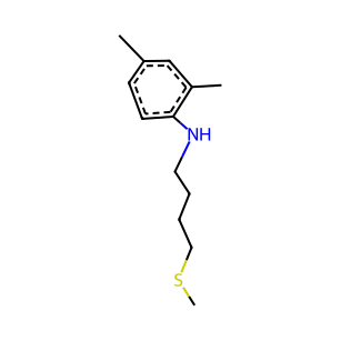 CSCCCCNc1ccc(C)cc1C